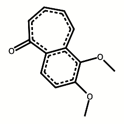 COc1ccc2c(=O)ccccc2c1OC